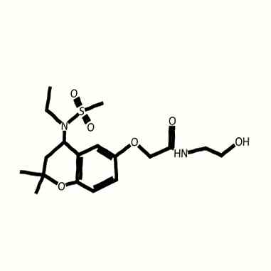 CCN(C1CC(C)(C)Oc2ccc(OCC(=O)NCCO)cc21)S(C)(=O)=O